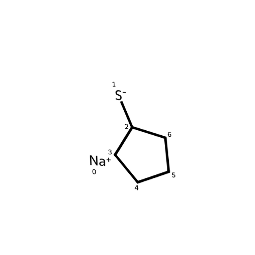 [Na+].[S-]C1CCCC1